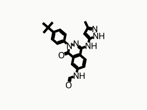 Cc1cc(Nc2nn(-c3ccc(C(C)(C)C)cc3)c(=O)c3cc(NC=O)ccc23)[nH]n1